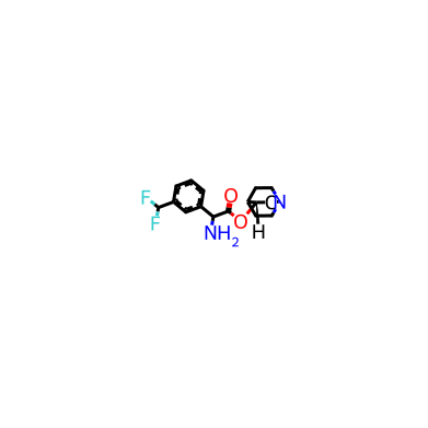 NC(C(=O)O[C@H]1CN2CCC1CC2)c1cccc(C(F)F)c1